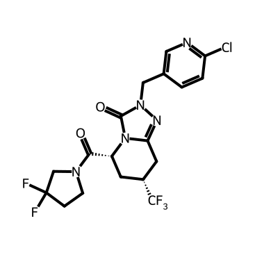 O=C([C@H]1C[C@@H](C(F)(F)F)Cc2nn(Cc3ccc(Cl)nc3)c(=O)n21)N1CCC(F)(F)C1